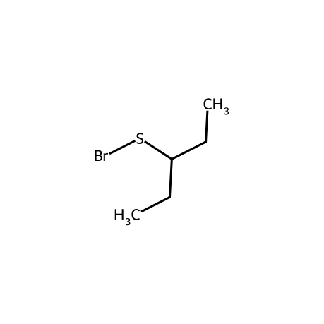 CCC(CC)SBr